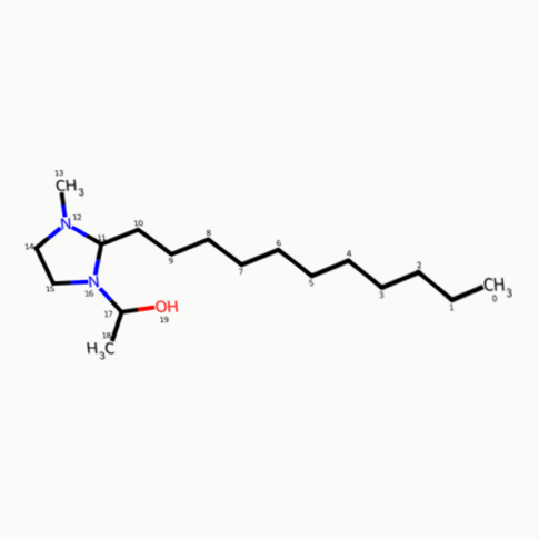 CCCCCCCCCCCC1N(C)CCN1C(C)O